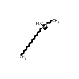 CCCCCCCCCCCCCCCC[n+]1ccn(CCCC)c1C